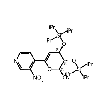 CC(C)[Si](O[C@@H]1[C@@H](C#N)OC(c2ccncc2[N+](=O)[O-])=C[C@H]1O[Si](C(C)C)(C(C)C)C(C)C)(C(C)C)C(C)C